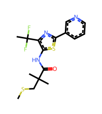 CSCC(C)(C)C(=O)Nc1sc(-c2cccnc2)nc1C(C)(F)F